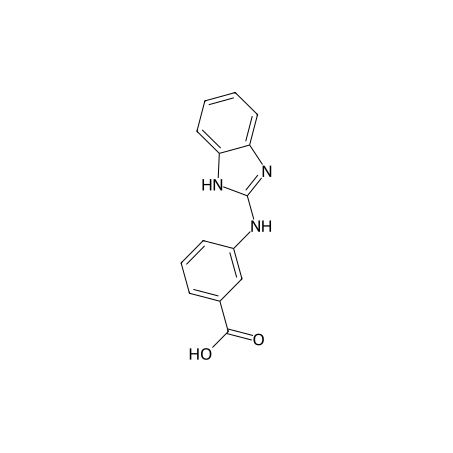 O=C(O)c1cccc(Nc2nc3ccccc3[nH]2)c1